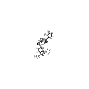 Cc1nn(C2CCCC2)c2cc(C3=NOC(C)(c4nc(-c5cccc(F)c5F)no4)C3)ccc12